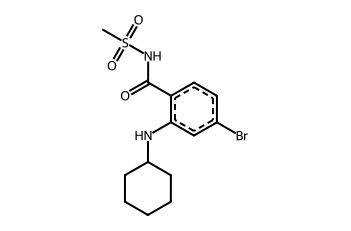 CS(=O)(=O)NC(=O)c1ccc(Br)cc1NC1CCCCC1